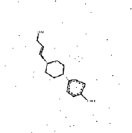 CC(=O)OCC=C[C@H]1CC[C@H](c2ccc(C=O)cc2)CC1